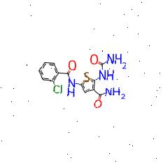 NC(=O)Nc1sc(NC(=O)c2ccccc2Cl)cc1C(N)=O